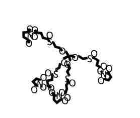 O=C(CCC(=O)SCCCOCC(COCCCSC(=O)CCC(=O)ON1C(=O)CCC1=O)(COCCCSC(=O)CCC(=O)ON1C(=O)CCC1=O)COCCCSC(=O)CCC(=O)ON1C(=O)CCC1=O)ON1C(=O)CCC1=O